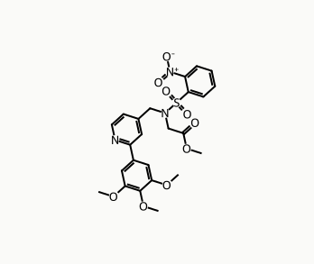 COC(=O)CN(Cc1ccnc(-c2cc(OC)c(OC)c(OC)c2)c1)S(=O)(=O)c1ccccc1[N+](=O)[O-]